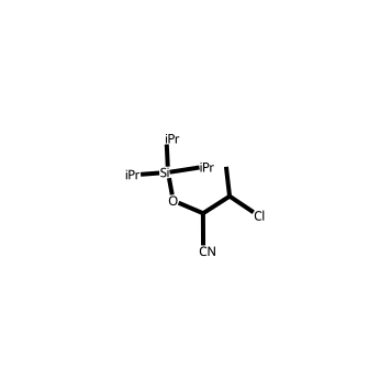 CC(Cl)C(C#N)O[Si](C(C)C)(C(C)C)C(C)C